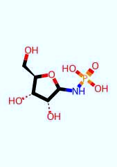 O=P(O)(O)NC1O[C@H](CO)[C@@H](O)[C@H]1O